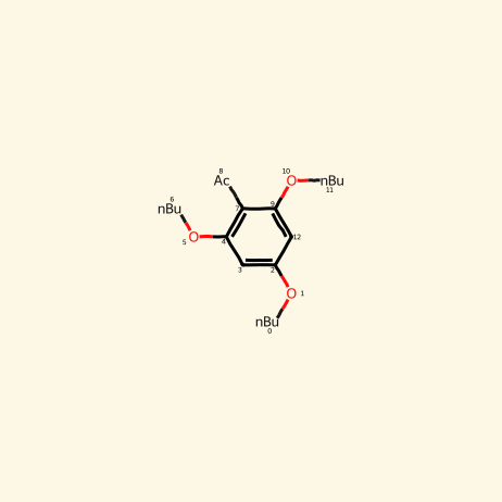 CCCCOc1cc(OCCCC)c(C(C)=O)c(OCCCC)c1